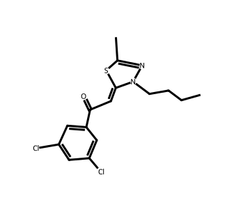 CCCCN1N=C(C)SC1=CC(=O)c1cc(Cl)cc(Cl)c1